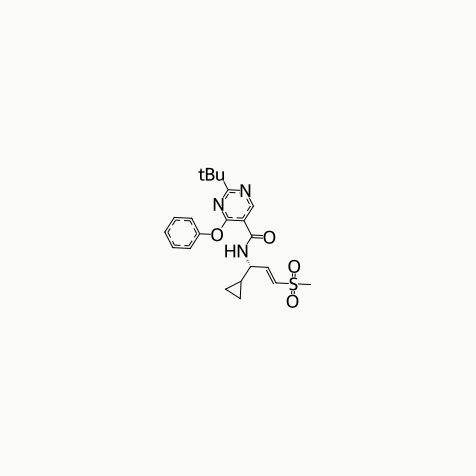 CC(C)(C)c1ncc(C(=O)N[C@H](/C=C/S(C)(=O)=O)C2CC2)c(Oc2ccccc2)n1